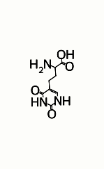 NC(CCc1c[nH]c(=O)[nH]c1=O)C(=O)O